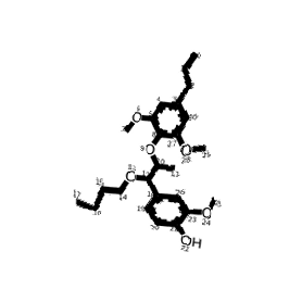 C=CCc1cc(OC)c(OC(C)C(OCCCC)c2ccc(O)c(OC)c2)c(OC)c1